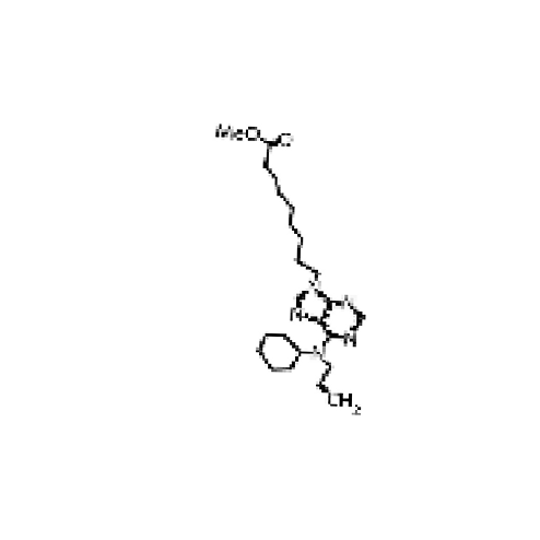 C=CCN(c1ncnc2c1ncn2CCCCCCCCC(=O)OC)C1CCCCC1